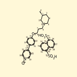 C[C@H]1CCCN(CCCOc2ccc(-c3cc[n+]([O-])cc3)cc2)C1.O=S(=O)(O)c1cccc2c(S(=O)(=O)O)cccc12